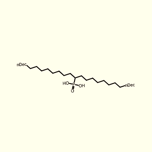 CCCCCCCCCCCCCCCCCCC(CCCCCCCCCCCCCCCCCC)P(=O)(O)O